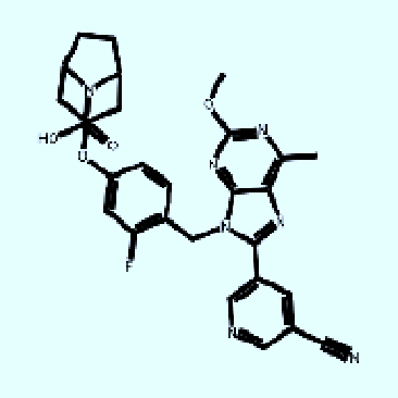 COc1nc(C)c2nc(-c3cncc(C#N)c3)n(Cc3ccc(OC4CC5CCC(C4)N5C(=O)O)cc3F)c2n1